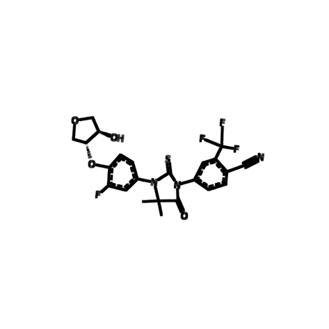 CC1(C)C(=O)N(c2ccc(C#N)c(C(F)(F)F)c2)C(=S)N1c1ccc(O[C@@H]2COC[C@H]2O)c(F)c1